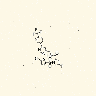 O=C(NCc1cc(-c2ccc(C(F)(F)F)nc2)ncn1)[C@@H]1C[C@@H](F)CN1S(=O)(=O)c1ccc(Cl)s1